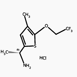 Cc1cc([C@@H](C)N)sc1OCC(F)(F)F.Cl